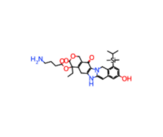 CCC1(OC(=O)CCCN)C(=O)OCC2=C1CC1=C(C2=O)N2Cc3c(cc(O)cc3[Si](C)(C)C(C)C)C=C2N1